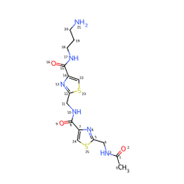 CC(=O)NCc1nc(C(=O)NCc2nc(C(=O)NCCCN)cs2)cs1